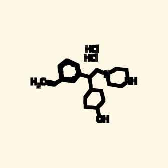 C=Cc1cccc(C(CN2CCNCC2)C2CCC(O)CC2)c1.Cl.Cl